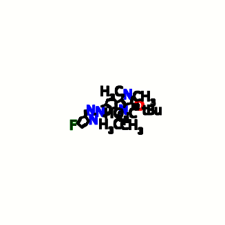 Cc1nc(C)c([C@H](OC(C)(C)C)C(=O)O)c(N2CCC(C)(C)CC2)c1-c1ccc2c(c1)CCN(c1ncc3cc(F)ccc3n1)C2